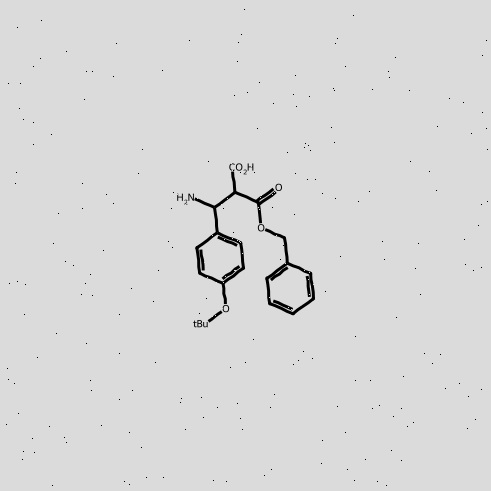 CC(C)(C)Oc1ccc(C(N)C(C(=O)O)C(=O)OCc2ccccc2)cc1